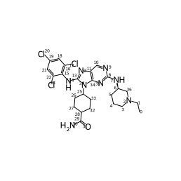 CCN1CCC[C@@H](Nc2ncc3nc(Nc4c(Cl)cc(Cl)cc4Cl)n(C4CCC(C(N)=O)CC4)c3n2)C1